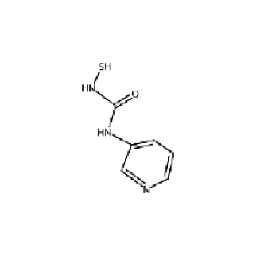 O=C(NS)Nc1cccnc1